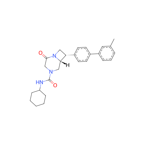 Cc1cccc(-c2ccc([C@H]3CN4C(=O)CN(C(=O)NC5CCCCC5)C[C@@H]34)cc2)c1